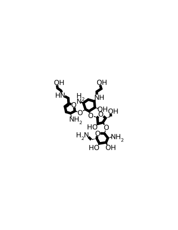 NC[C@@H]1O[C@H](O[C@H]2[C@@H](O)[C@H](O[C@@H]3[C@@H](O)[C@H](NCCO)C[C@H](N)[C@H]3O[C@H]3OC(CNCCO)=CC[C@H]3N)O[C@@H]2CO)[C@H](N)[C@@H](O)[C@@H]1O